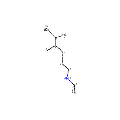 C=CNCCCC(C)C(C#N)C(C)CC